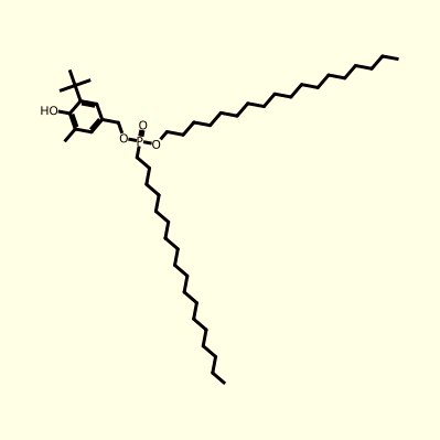 CCCCCCCCCCCCCCCCCCOP(=O)(CCCCCCCCCCCCCCCCCC)OCc1cc(C)c(O)c(C(C)(C)C)c1